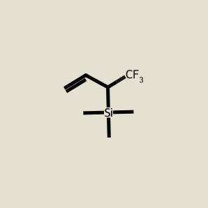 C=CC(C(F)(F)F)[Si](C)(C)C